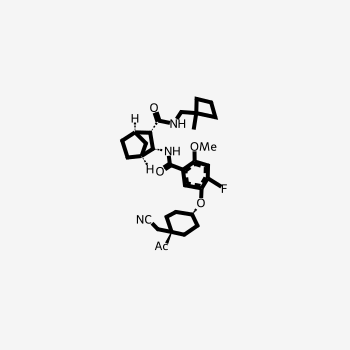 COc1cc(F)c(O[C@H]2CC[C@](CC#N)(C(C)=O)CC2)cc1C(=O)N[C@@H]1[C@H]2CC[C@H](C2)[C@@H]1C(=O)NCC1(C)CCC1